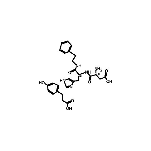 N[C@@H](CC(=O)O)C(=O)N[C@@H](Cc1c[nH]cn1)C(=O)NCCc1ccccc1.O=C(O)CCc1ccc(O)cc1